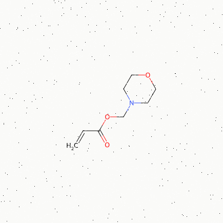 C=CC(=O)OCN1CCOCC1